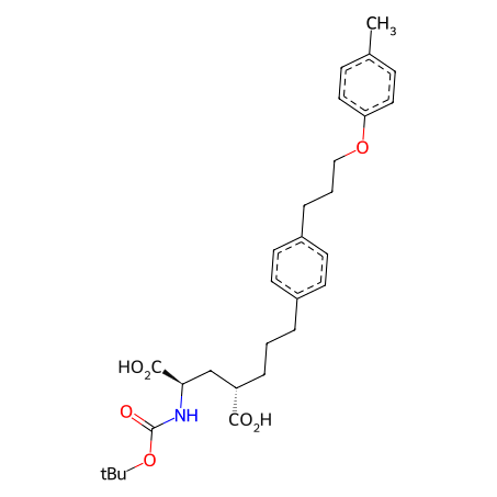 Cc1ccc(OCCCc2ccc(CCC[C@@H](C[C@@H](NC(=O)OC(C)(C)C)C(=O)O)C(=O)O)cc2)cc1